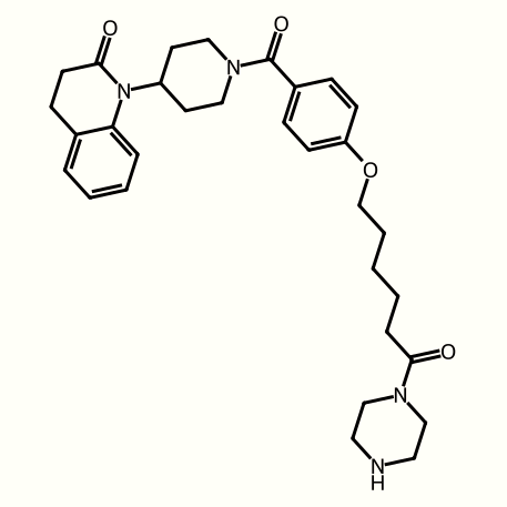 O=C(CCCCCOc1ccc(C(=O)N2CCC(N3C(=O)CCc4ccccc43)CC2)cc1)N1CCNCC1